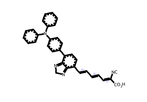 [C-]#[N+]\C(=C/C=C/C=C/c1ccc(-c2ccc(N(c3ccccc3)c3ccccc3)cc2)c2c1=NCN=2)C(=O)O